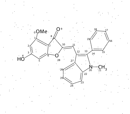 COc1cc(O)cc2c1C(=O)C(=Cc1c(-c3ccccc3)n(C)c3ccccc13)O2